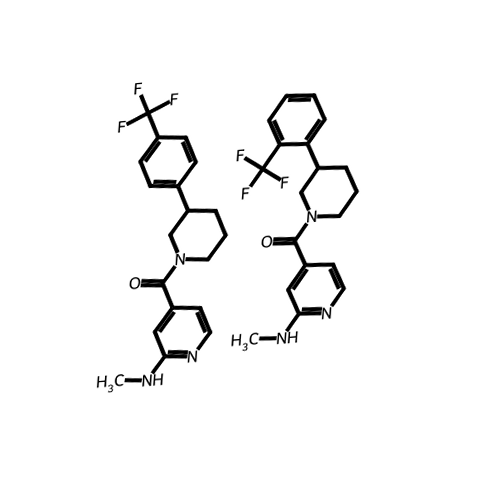 CNc1cc(C(=O)N2CCCC(c3ccc(C(F)(F)F)cc3)C2)ccn1.CNc1cc(C(=O)N2CCCC(c3ccccc3C(F)(F)F)C2)ccn1